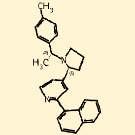 Cc1ccc([C@@H](C)N2CCC[C@H]2c2ccnc(-c3cccc4ccccc34)c2)cc1